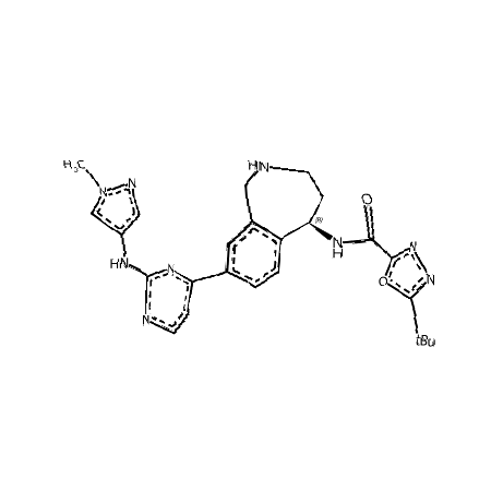 Cn1cc(Nc2nccc(-c3ccc4c(c3)CNCC[C@H]4NC(=O)c3nnc(C(C)(C)C)o3)n2)cn1